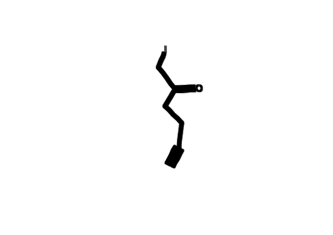 C#CCCC(=O)CI